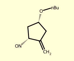 C=C1C[C@@H](OCCCC)C[C@H]1N=O